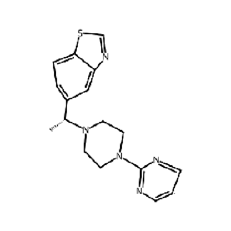 C[C@H](c1ccc2scnc2c1)N1CCN(c2nc[c]cn2)CC1